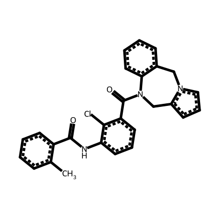 Cc1ccccc1C(=O)Nc1cccc(C(=O)N2Cc3cccn3Cc3ccccc32)c1Cl